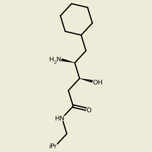 CC(C)CNC(=O)C[C@H](O)[C@@H](N)CC1CCCCC1